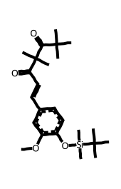 COc1cc(C=CC(=O)C(C)(C)C(=O)C(C)(C)C)ccc1O[Si](C)(C)C(C)(C)C